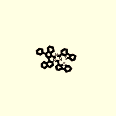 c1ccc(-c2cc(-c3cccc4ccccc34)c(-c3nc(-c4cccc5c4sc4ccccc45)nc(-c4cccc5c4sc4ccccc45)n3)c3ccccc23)cc1